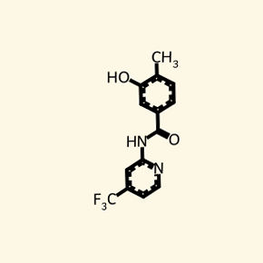 Cc1ccc(C(=O)Nc2cc(C(F)(F)F)ccn2)cc1O